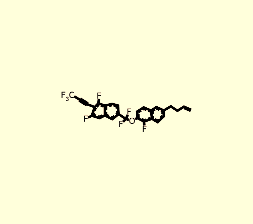 C=CCCc1ccc2c(F)c(OC(F)(F)c3ccc4c(F)c(C#CC(F)(F)F)c(F)cc4c3)ccc2c1